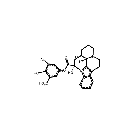 CC(=O)c1cccc(C(=O)O)c1O.CC[C@]12CCCN3CCc4c(n(c5ccccc45)[C@@](O)(C(=O)OC)C1)[C@@H]32